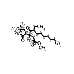 CCCCCCCC(CC)C(=O)C(N)(CC(=O)OC)C1CC(C)(C)NC1=O